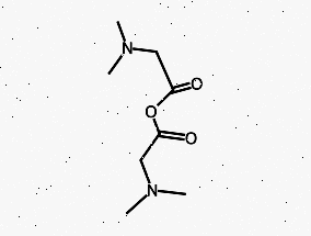 CN(C)CC(=O)OC(=O)CN(C)C